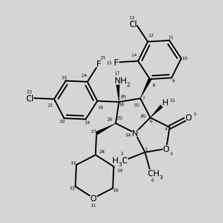 CC1(C)OC(=O)[C@H]2[C@H](c3cccc(Cl)c3F)[C@@](N)(c3ccc(Cl)cc3F)[C@H](CC3CCOCC3)N21